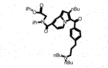 CCCCc1cc2cc(C(=O)N(CC(=O)OC(C)C)C(C)C)ccn2c1C(=O)c1ccc(CCCN(CCCC)CCCC)cc1